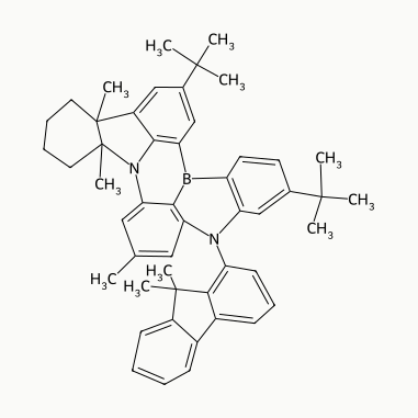 Cc1cc2c3c(c1)N1c4c(cc(C(C)(C)C)cc4C4(C)CCCCC14C)B3c1ccc(C(C)(C)C)cc1N2c1cccc2c1C(C)(C)c1ccccc1-2